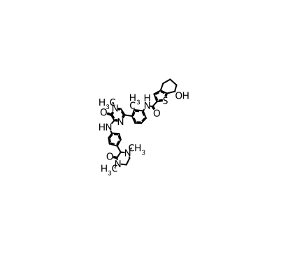 Cc1c(NC(=O)c2cc3c(s2)C(O)CCC3)cccc1-c1cn(C)c(=O)c(Nc2ccc(C3C(=O)N(C)CCN3C)cc2)n1